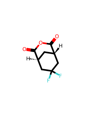 O=C1OC(=O)[C@H]2C[C@H]1CC(F)(F)C2